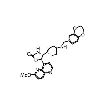 COc1ccc2nccc([C@H]3OC(=O)N[C@@H]3[C@H]3CC[C@H](NCc4ccc5c(c4)OCCO5)CC3)c2n1